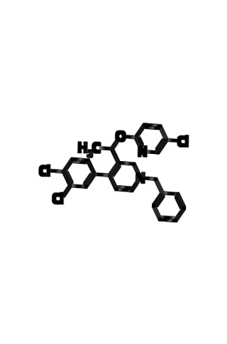 CC(Oc1ccc(Cl)cn1)C1=C(c2ccc(Cl)c(Cl)c2)C=CN(Cc2ccccc2)C1